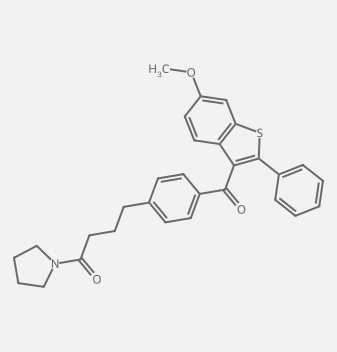 COc1ccc2c(C(=O)c3ccc(CCCC(=O)N4CCCC4)cc3)c(-c3ccccc3)sc2c1